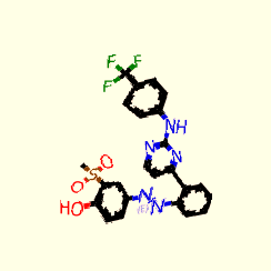 CS(=O)(=O)c1cc(/N=N/c2ccccc2-c2ccnc(Nc3ccc(C(F)(F)F)cc3)n2)ccc1O